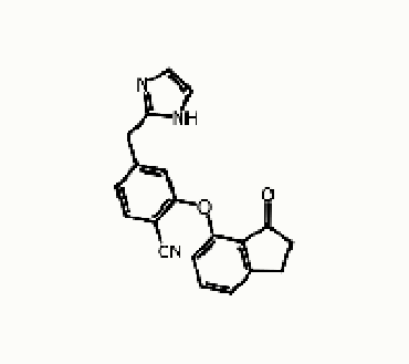 N#Cc1ccc(Cc2ncc[nH]2)cc1Oc1cccc2c1C(=O)CC2